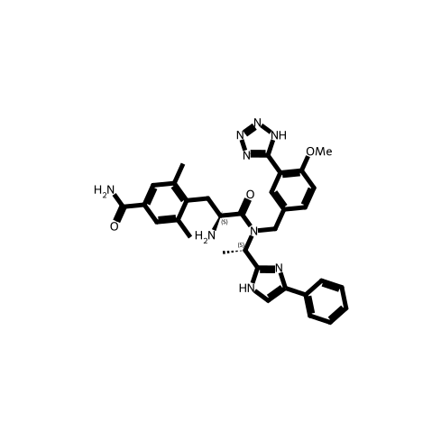 COc1ccc(CN(C(=O)[C@@H](N)Cc2c(C)cc(C(N)=O)cc2C)[C@@H](C)c2nc(-c3ccccc3)c[nH]2)cc1-c1nnn[nH]1